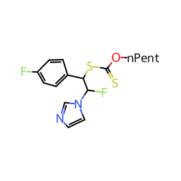 CCCCCOC(=S)SC(c1ccc(F)cc1)C(F)n1ccnc1